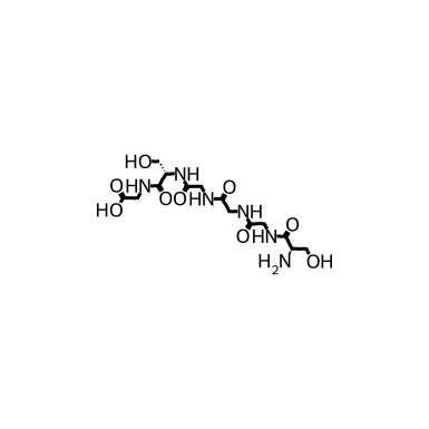 N[C@@H](CO)C(=O)NCC(=O)NCC(=O)NCC(=O)N[C@@H](CO)C(=O)NCC(=O)O